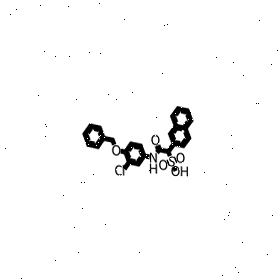 O=C(Nc1ccc(OCc2ccccc2)c(Cl)c1)C(c1ccc2ccccc2c1)S(=O)(=O)O